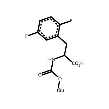 CC(C)(C)OC(=O)NC(Cc1cc(F)ccc1F)C(=O)O